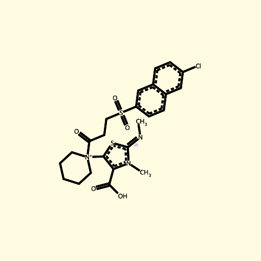 C/N=c1\sc([N+]2(C(=O)CCS(=O)(=O)c3ccc4cc(Cl)ccc4c3)CCCCC2)c(C(=O)O)n1C